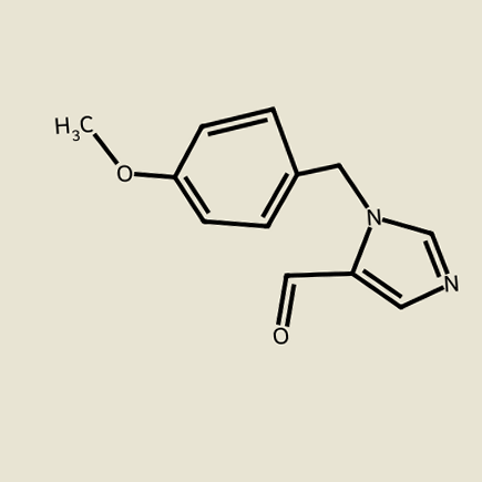 COc1ccc(Cn2cncc2C=O)cc1